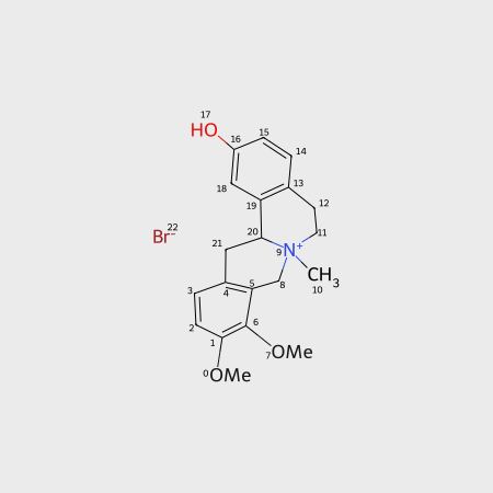 COc1ccc2c(c1OC)C[N+]1(C)CCc3ccc(O)cc3C1C2.[Br-]